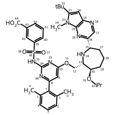 Cc1cccc(C)c1-c1cc(OC[C@@H]2N[C@H](c3cnc4cc(C(C)(C)C)n(C)c4n3)CCC[C@H]2OC(C)C)nc(NS(=O)(=O)c2cccc(C(=O)O)c2)n1